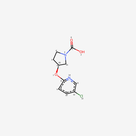 O=C(O)N1CC[C@H](Oc2ccc(Cl)cn2)C1